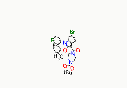 Cc1ccc(F)cc1Oc1c(C(=O)N2CCN(C(=O)OC(C)(C)C)CC2)c2ccc(Br)cc2n1-c1ccccc1